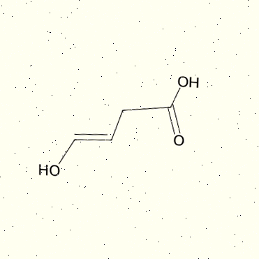 O=C(O)CC=CO